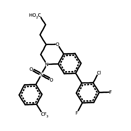 O=C(O)CCC1CN(S(=O)(=O)c2cccc(C(F)(F)F)c2)c2cc(-c3cc(F)cc(F)c3Cl)ccc2O1